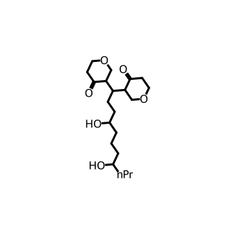 CCCC(O)CCCC(O)CCC(C1COCCC1=O)C1COCCC1=O